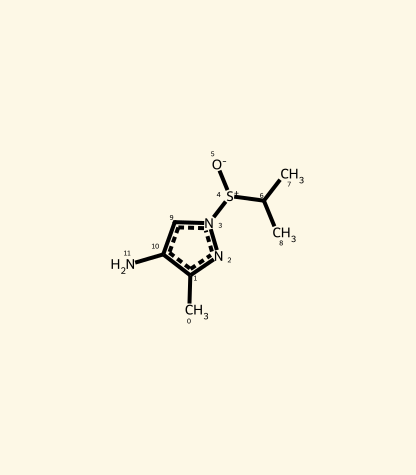 Cc1nn([S+]([O-])C(C)C)cc1N